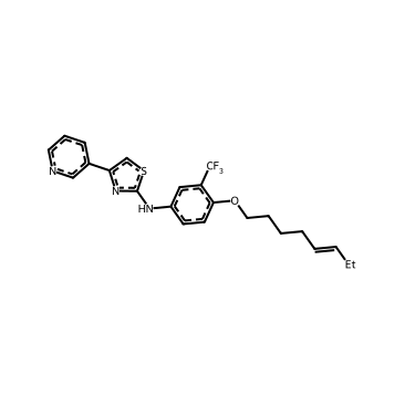 CCC=CCCCCOc1ccc(Nc2nc(-c3cccnc3)cs2)cc1C(F)(F)F